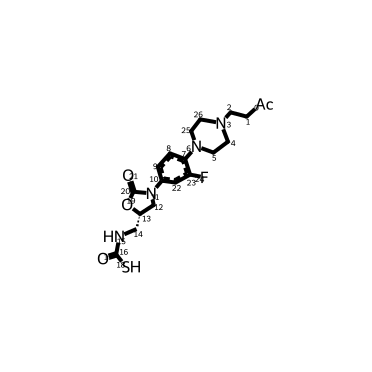 CC(=O)CCN1CCN(c2ccc(N3C[C@H](CNC(=O)S)OC3=O)cc2F)CC1